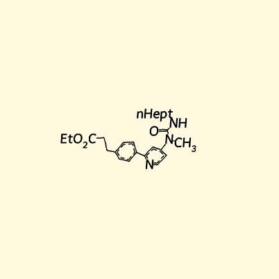 CCCCCCCNC(=O)N(C)c1ccnc(-c2ccc(CCC(=O)OCC)cc2)c1